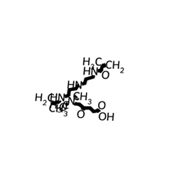 C=C(C)C(=O)NCCCNCCC(NC(=O)C(=C)C)[N+](C)(C)CCC(=O)CCC(=O)O